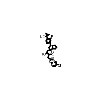 N#CC1(c2ccc(CCC3(C4CCCC4)CC(O)=C(Cc4nc5ncc(Cl)cn5n4)C(=O)O3)cc2F)CC1